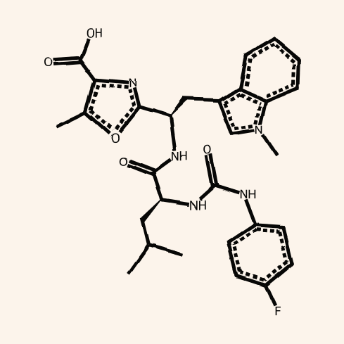 Cc1oc([C@@H](Cc2cn(C)c3ccccc23)NC(=O)[C@H](CC(C)C)NC(=O)Nc2ccc(F)cc2)nc1C(=O)O